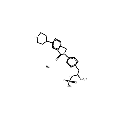 CCCCS(=O)(=O)NC(Cc1ccc(N2Cc3ccc(C4CCNCC4)cc3C2=O)cc1)C(=O)O.Cl